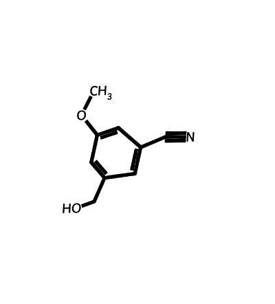 COc1cc(C#N)cc(CO)c1